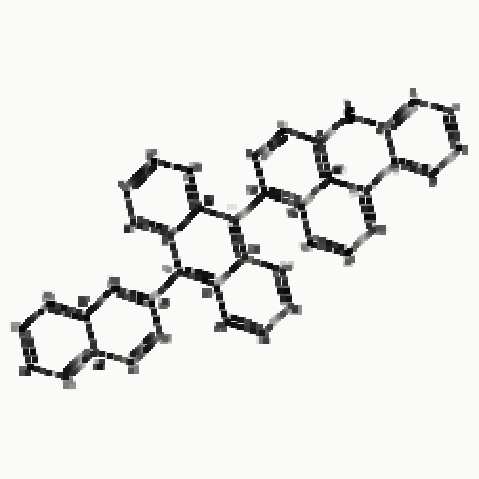 c1ccc2c(c1)Sc1ccc(-c3c4ccccc4c(-c4ccc5ccccc5c4)c4ccccc34)c3cccc-2c13